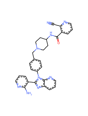 N#Cc1ncccc1C(=O)NC1CCN(Cc2ccc(-n3c(-c4cccnc4N)nc4cccnc43)cc2)CC1